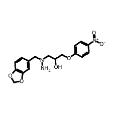 NN(Cc1ccc2c(c1)OCO2)CC(O)COc1ccc([N+](=O)[O-])cc1